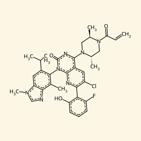 C=CC(=O)N1C[C@H](C)N(c2nc(=O)n(-c3c(C(C)C)cc4c(ncn4C)c3C)c3nc(-c4c(O)cccc4F)c(Cl)cc23)C[C@H]1C